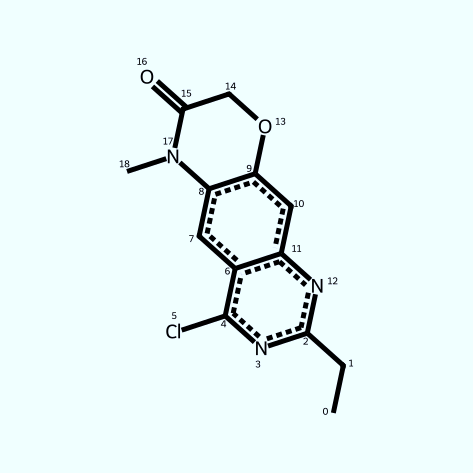 CCc1nc(Cl)c2cc3c(cc2n1)OCC(=O)N3C